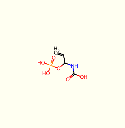 C=CC(NC(=O)O)OP(=O)(O)O